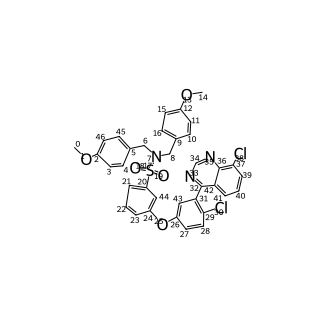 COc1ccc(CN(Cc2ccc(OC)cc2)S(=O)(=O)c2cccc(Oc3ccc(Cl)c(-c4ncnc5c(Cl)cccc45)c3)c2)cc1